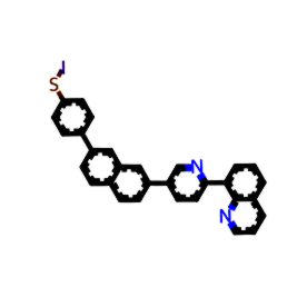 ISc1ccc(-c2ccc3ccc(-c4ccc(-c5cccc6cccnc56)nc4)cc3c2)cc1